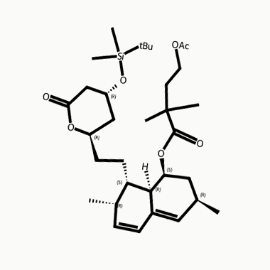 CC(=O)OCCC(C)(C)C(=O)O[C@H]1C[C@@H](C)C=C2C=C[C@H](C)[C@H](CC[C@@H]3C[C@@H](O[Si](C)(C)C(C)(C)C)CC(=O)O3)[C@H]21